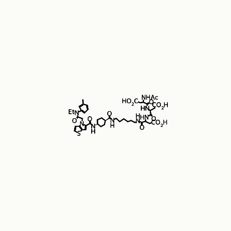 CCN(C(=O)Cn1c(C(=O)N[C@H]2CC[C@H](C(=O)NCCCCCCNC(=O)C(CC(=O)O)NC(=O)C(CC(=O)O)NC(=O)C(CC(=O)O)NC(C)=O)CC2)cc2sccc21)c1cccc(C)c1